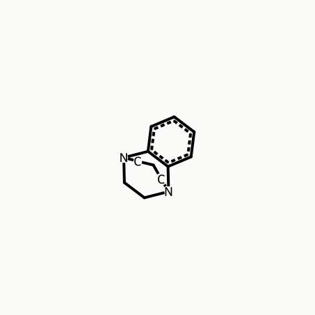 c1ccc2c(c1)N1CCCN2CC1